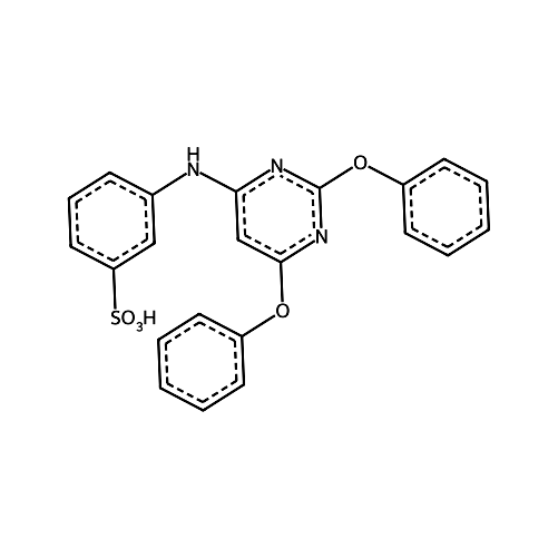 O=S(=O)(O)c1cccc(Nc2cc(Oc3ccccc3)nc(Oc3ccccc3)n2)c1